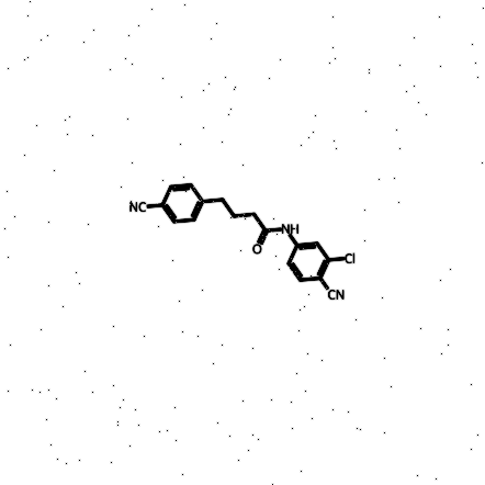 N#Cc1ccc(CCCC(=O)Nc2ccc(C#N)c(Cl)c2)cc1